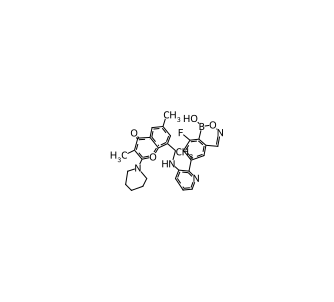 Cc1cc(C(C)Nc2cccnc2-c2cc(F)c3c(c2)C=NOB3O)c2oc(N3CCCCC3)c(C)c(=O)c2c1